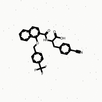 N#Cc1ccc(CC(NC(=O)c2ccc3ccccc3c2OCc2ccc(C(F)(F)F)cc2)C(=O)O)cc1